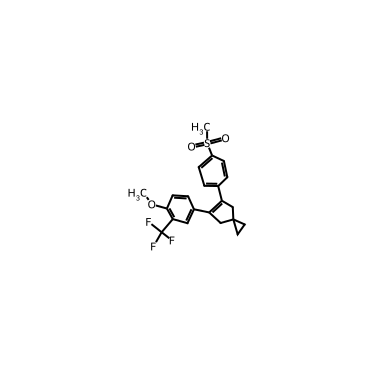 COc1ccc(C2=C(c3ccc(S(C)(=O)=O)cc3)CC3(CC3)C2)cc1C(F)(F)F